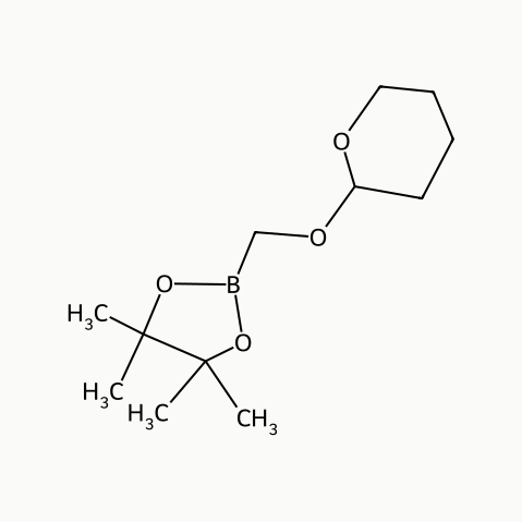 CC1(C)OB(COC2CCCCO2)OC1(C)C